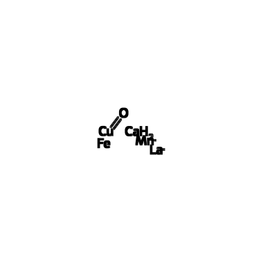 [CaH2].[Fe].[La].[Mn].[O]=[Cu]